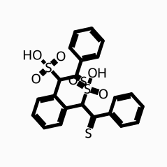 O=S(=O)(O)C(C(=S)c1ccccc1)c1ccccc1C(C(=S)c1ccccc1)S(=O)(=O)O